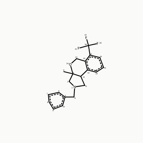 CC12CN(Cc3ccccc3)CC1c1cccc(C(F)(F)F)c1CO2